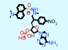 CN(CC(C[C@H]1O[C@@H](n2cnc3c(N)ncnc32)C[C@@H]1OP(=O)(O)O)c1ccc([N+](=O)[O-])cc1)NS(=O)(=O)c1cccc2c(N(C)C)cccc12